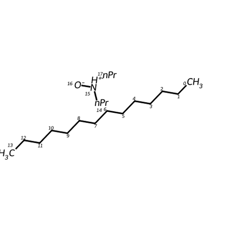 CCCCCCCCCCCCCC.CCC[NH+]([O-])CCC